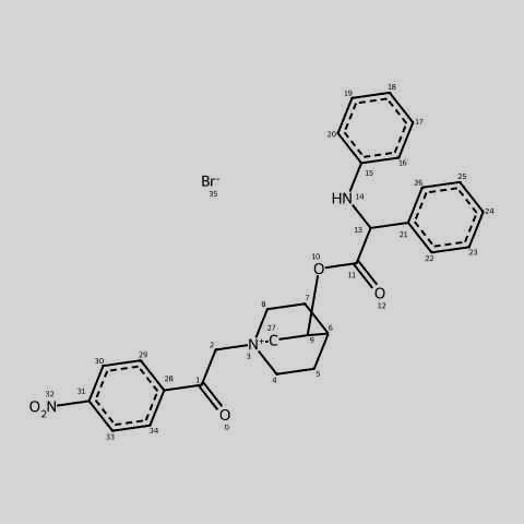 O=C(C[N+]12CCC(CC1)C(OC(=O)C(Nc1ccccc1)c1ccccc1)C2)c1ccc([N+](=O)[O-])cc1.[Br-]